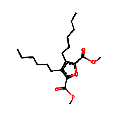 CCCCCCc1c(C(=O)OC)oc(C(=O)OC)c1CCCCCC